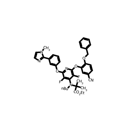 CCCCN(c1c(F)c(Oc2cccc(-c3nccn3C)c2)nc(Oc2cc(C#N)ccc2OCc2ccccc2)c1F)C(C)(C)C(=O)OCC